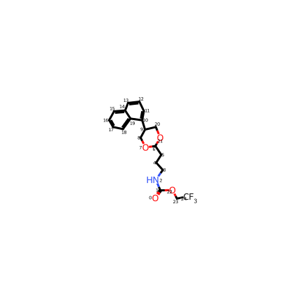 O=C(NCCCC1OCC(c2cccc3ccccc23)CO1)OCC(F)(F)F